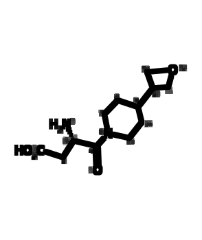 N[C@@H](CC(=O)O)C(=O)N1CCC(C2COC2)CC1